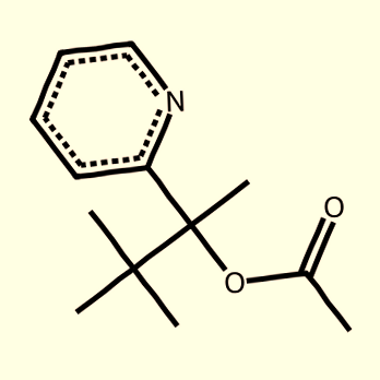 CC(=O)OC(C)(c1ccccn1)C(C)(C)C